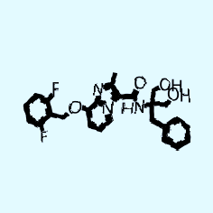 Cc1nc2c(OCc3c(F)cccc3F)cccn2c1C(=O)NC(CO)(CO)Cc1ccccc1